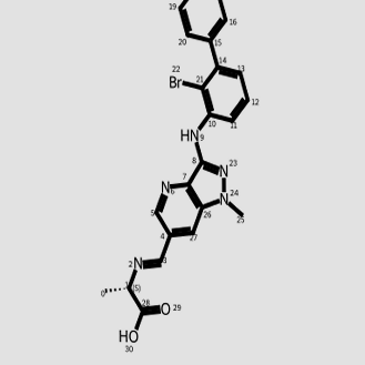 C[C@H](N=Cc1cnc2c(Nc3cccc(-c4ccccc4)c3Br)nn(C)c2c1)C(=O)O